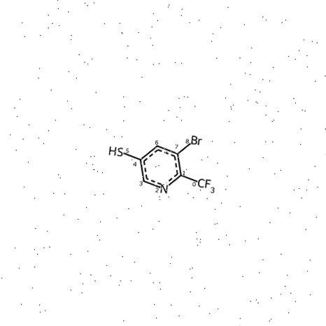 FC(F)(F)c1ncc(S)cc1Br